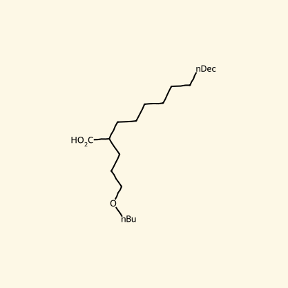 CCCCCCCCCCCCCCCCC(CCCOCCCC)C(=O)O